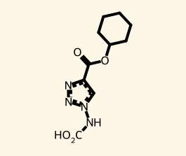 O=C(O)Nn1cc(C(=O)OC2CCCCC2)nn1